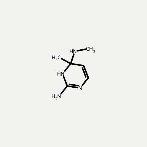 CNC1(C)C=CN=C(N)N1